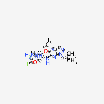 CCOC(C)C(/C=C(\NN)OC(F)F)Nc1cnc2cnn(CC(C)C)c2n1